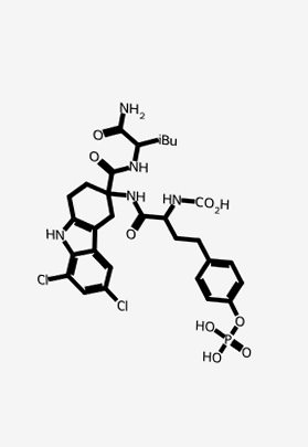 CCC(C)C(NC(=O)C1(NC(=O)C(CCc2ccc(OP(=O)(O)O)cc2)NC(=O)O)CCc2[nH]c3c(Cl)cc(Cl)cc3c2C1)C(N)=O